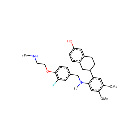 CCCNCCOc1ccc(CN(CC)c2cc(OC)c(OC)cc2C2CCc3cc(O)ccc3C2)cc1F